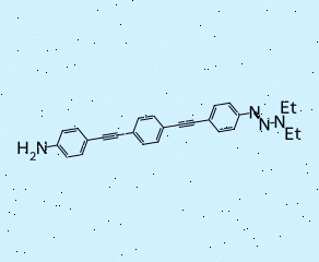 CCN(CC)N=Nc1ccc(C#Cc2ccc(C#Cc3ccc(N)cc3)cc2)cc1